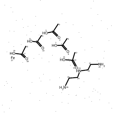 CC(=O)O.CC(=O)O.CC(=O)O.CC(=O)O.CC(=O)O.NCCNCCN.[Fe]